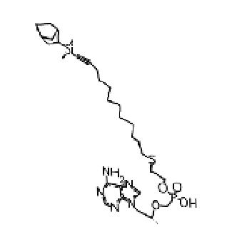 C[C@H](Cn1cnc2c(N)ncnc21)OCP(=O)(O)OCCSCCCCCCCCCCC#C[Si](C)(C)C1CC2CCC1C2